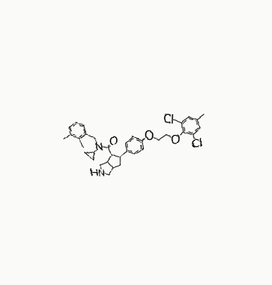 Cc1cc(Cl)c(OCCOc2ccc(C3CC4CNCC4C3C(=O)N(Cc3cccc(C)c3C)C3CC3)cc2)c(Cl)c1